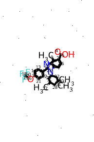 Cc1c(C(=O)O)ccc2c1nc(-c1ccc(OC(F)(F)F)cc1)n2C1CC(C)CC(C)(C)C1